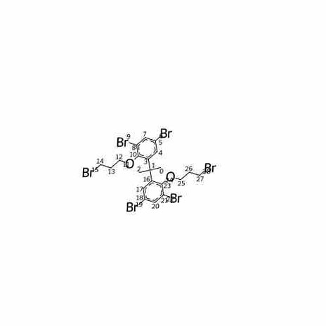 CC(C)(c1cc(Br)cc(Br)c1OCCCBr)c1cc(Br)cc(Br)c1OCCCBr